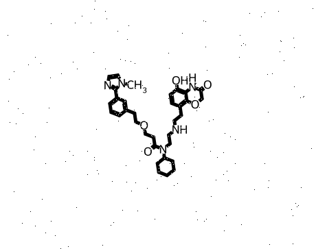 Cn1ccnc1-c1cccc(CCOCCC(=O)N(CCNCCc2ccc(O)c3c2OCC(=O)N3)C2CCCCC2)c1